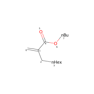 C=C(CCCCCCC)C(=O)OCCCC